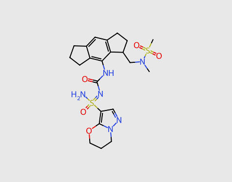 CN(CC1CCc2cc3c(c(NC(=O)N=S(N)(=O)c4cnn5c4OCCC5)c21)CCC3)S(C)(=O)=O